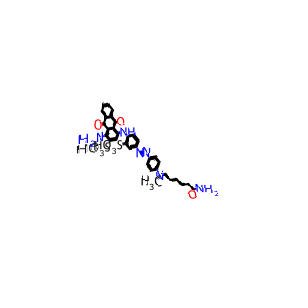 CN(CCCCCC(N)=O)c1ccc(/N=N/c2ccc(Nc3cc(S(=O)(=O)O)c(N)c4c3C(=O)c3ccccc3C4=O)c(S(=O)(=O)O)c2)cc1